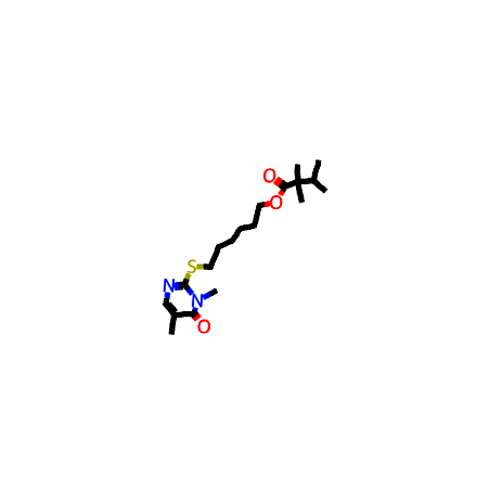 Cc1cnc(SCCCCCCOC(=O)C(C)(C)C(C)C)n(C)c1=O